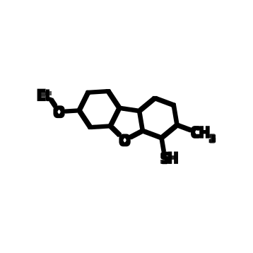 CCOC1CCC2C(C1)OC1C(S)C(C)CCC21